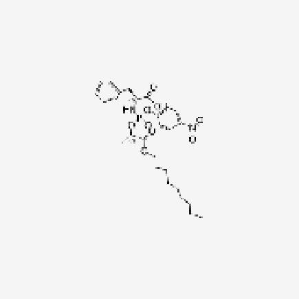 CCCCCCCCCOC(=O)[C@H](C)OP(=O)(N[C@@H](Cc1ccccc1)C(=O)O)Oc1ccc([N+](=O)[O-])cc1